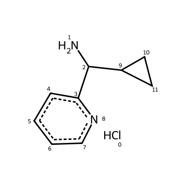 Cl.NC(c1ccccn1)C1CC1